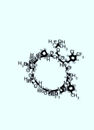 CC[C@H](C)[C@@H]1NC(=O)[C@H](CC(C)C)N(C)C(=O)C[C@@H](C(=O)N(C)C)N(C)C(=O)[C@H]([C@@H](C)CC)N(C)C(=O)C2(CCCC2)NC(=O)CN(CCOCC(C)(C)O)C(=O)[C@H](CCc2ccc(C(F)(F)F)c(Cl)c2)NC(=O)CN(C)C(=O)[C@H](Cc2ccc(C)cc2)N(C)C(=O)[C@@H]2CCN2C(=O)[C@H](C)N(C)C1=O